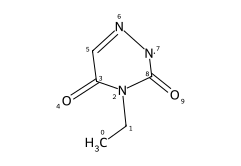 CCN1C(=O)C=N[N]C1=O